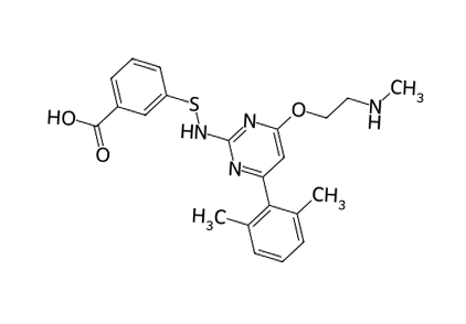 CNCCOc1cc(-c2c(C)cccc2C)nc(NSc2cccc(C(=O)O)c2)n1